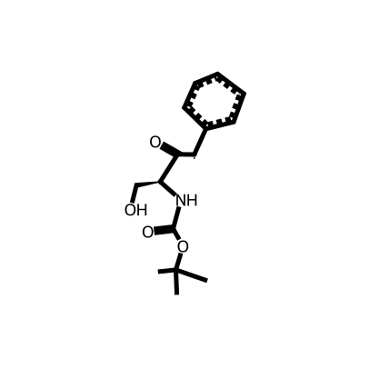 CC(C)(C)OC(=O)N[C@@H](CO)C(=O)[CH]c1ccccc1